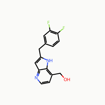 OCc1ccnc2cc(Cc3ccc(F)c(F)c3)[nH]c12